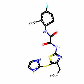 CC(C)COc1cc(F)ccc1NC(=O)C(=O)Nc1nc(CC(=O)O)c(Sc2ncc[nH]2)s1